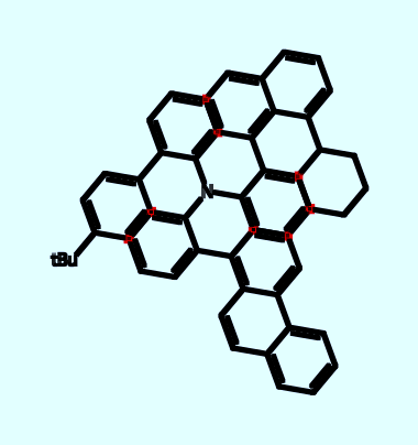 CC(C)(C)c1ccc(-c2ccccc2N(c2ccccc2-c2cccc3c2ccc2ccccc23)c2ccccc2-c2cccc3cccc(C4CCCCC4)c23)cc1